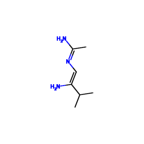 C/C(N)=N\C=C(N)C(C)C